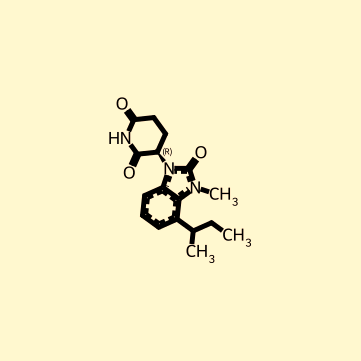 CCC(C)c1cccc2c1n(C)c(=O)n2[C@@H]1CCC(=O)NC1=O